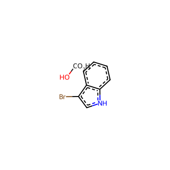 Brc1c[nH]c2ccccc12.O=C(O)O